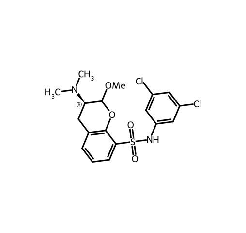 COC1Oc2c(cccc2S(=O)(=O)Nc2cc(Cl)cc(Cl)c2)C[C@H]1N(C)C